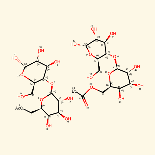 CC(=O)OC[C@H]1O[C@@H](O[C@H]2[C@H](O)[C@@H](O)[C@@H](O)O[C@@H]2CO)[C@H](O)[C@@H](O)[C@H]1O.CCC(=O)OC[C@H]1O[C@@H](O[C@H]2[C@H](O)[C@@H](O)[C@@H](O)O[C@@H]2CO)[C@H](O)[C@@H](O)[C@H]1O